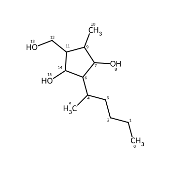 CCCCC(C)C1C(O)C(C)C(CO)C1O